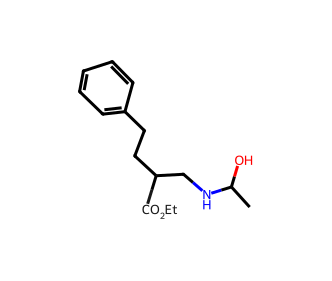 CCOC(=O)C(CCc1ccccc1)CNC(C)O